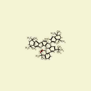 Cc1cc2c(cc1N1c3cc(C(C)(C)C)cc4c3B(c3c1ccc1c3sc3cc5c(cc31)C(C)(C)CCC5(C)C)N1c3ccccc3C(C)(C)c3cccc-4c31)C(C)(C)CCC2(C)C